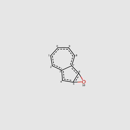 c1ccc2cc3c(c-2cc1)O3